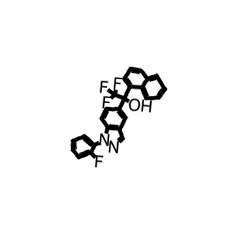 OC(c1ccc2c(cnn2-c2ccccc2F)c1)(c1cccc2ccccc12)C(F)(F)F